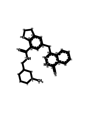 CN1CCCC(CNC(=O)c2cc(Cc3n[nH]c(=O)c4ccccc34)cc3c2OCC3)C1